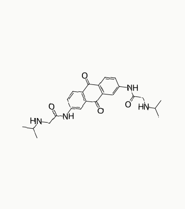 CC(C)NCC(=O)Nc1ccc2c(c1)C(=O)c1cc(NC(=O)CNC(C)C)ccc1C2=O